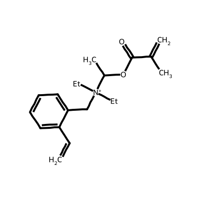 C=Cc1ccccc1C[N+](CC)(CC)C(C)OC(=O)C(=C)C